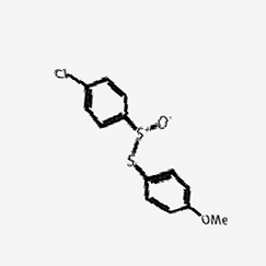 COc1ccc(S[S+]([O-])c2ccc(Cl)cc2)cc1